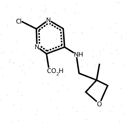 CC1(CNc2cnc(Cl)nc2C(=O)O)COC1